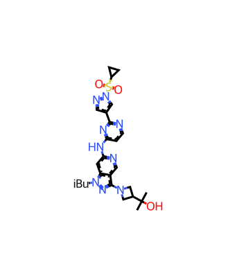 CCC(C)n1nc(N2CC(C(C)(C)O)C2)c2cnc(Nc3ccnc(-c4cnn(S(=O)(=O)C5CC5)c4)n3)cc21